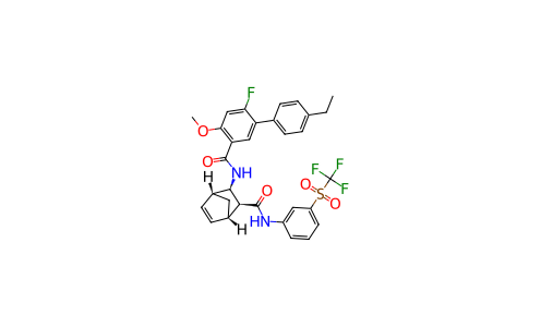 CCc1ccc(-c2cc(C(=O)N[C@H]3[C@@H](C(=O)Nc4cccc(S(=O)(=O)C(F)(F)F)c4)[C@@H]4C=C[C@H]3C4)c(OC)cc2F)cc1